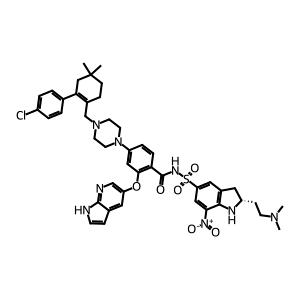 CN(C)CC[C@H]1Cc2cc(S(=O)(=O)NC(=O)c3ccc(N4CCN(CC5=C(c6ccc(Cl)cc6)CC(C)(C)CC5)CC4)cc3Oc3cnc4[nH]ccc4c3)cc([N+](=O)[O-])c2N1